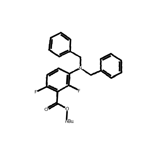 CCCCOC(=O)c1c(F)ccc(N(Cc2ccccc2)Cc2ccccc2)c1F